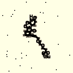 CC(C)(C)OC(=O)CCOCCOCC#Cc1cccc2c1C(=O)N(C1CCC(=O)NC1=O)C2=O